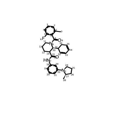 Cc1cccc(F)c1C(=O)N1CCCC(C(=O)Nc2cccc(N3CCC[C@H]3C)c2)[C@@H]1C1C=CC=CC1